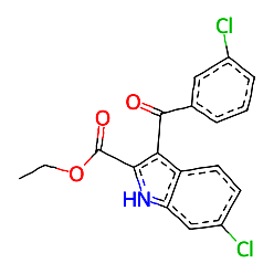 CCOC(=O)c1[nH]c2cc(Cl)ccc2c1C(=O)c1cccc(Cl)c1